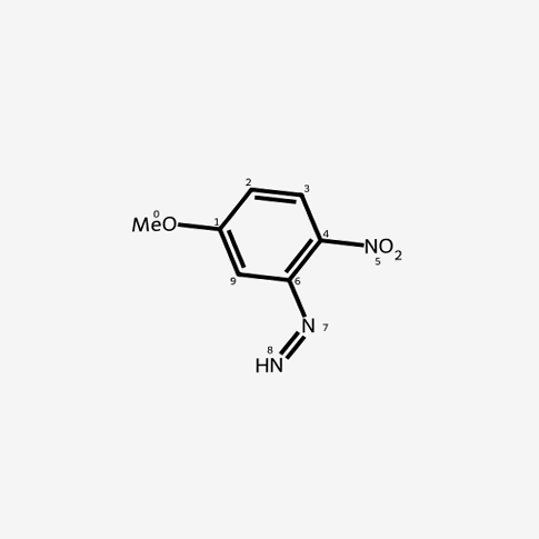 COc1ccc([N+](=O)[O-])c(N=N)c1